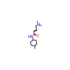 CC1CCC(NC(=O)/C=C/CN(C)C)CC1